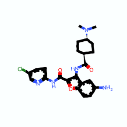 CN(C)[C@H]1CC[C@H](C(=O)Nc2c(C(=O)Nc3ccc(Cl)cn3)oc3ccc(N)cc23)CC1